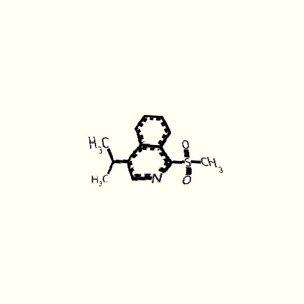 CC(C)c1cnc(S(C)(=O)=O)c2ccccc12